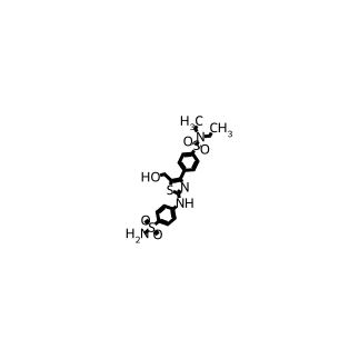 CCN(CC)S(=O)(=O)c1ccc(-c2nc(Nc3ccc(S(N)(=O)=O)cc3)sc2CO)cc1